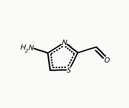 Nc1csc(C=O)n1